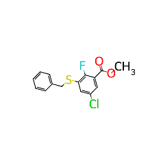 COC(=O)c1cc(Cl)cc(SCc2ccccc2)c1F